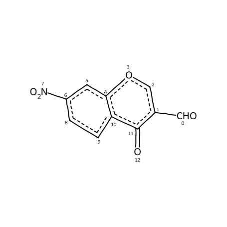 O=Cc1coc2cc([N+](=O)[O-])ccc2c1=O